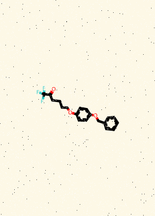 O=C(CCCCOc1ccc(OCc2ccccc2)cc1)C(F)(F)F